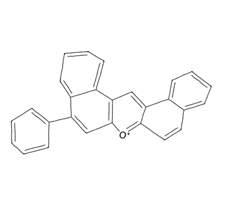 c1ccc(-c2cc3[o+]c4ccc5ccccc5c4cc3c3ccccc23)cc1